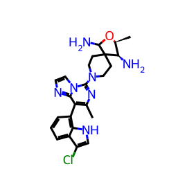 Cc1nc(N2CCC3(CC2)C(N)O[C@@H](C)[C@H]3N)n2ccnc2c1-c1cccc2c(Cl)c[nH]c12